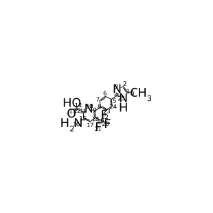 Cc1cnc(-c2ccc(-c3nc(C(=O)O)c(N)cc3C(F)(F)F)cc2)[nH]1